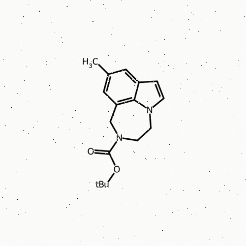 Cc1cc2c3c(ccn3CCN(C(=O)OC(C)(C)C)C2)c1